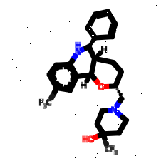 OC1(C(F)(F)F)CCN(C[C@H]2CC[C@@H]3[C@H](O2)c2cc(C(F)(F)F)ccc2N[C@H]3C2C=CC=CC2)CC1